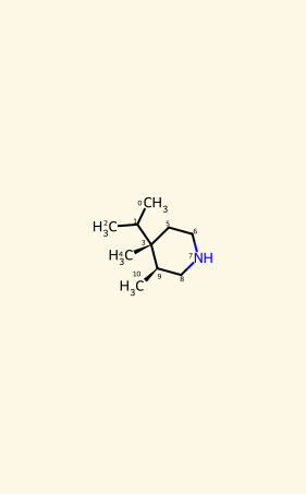 CC(C)[C@]1(C)CCNC[C@H]1C